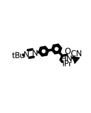 CC(C)CC(C(=O)NC1(C#N)CC1)c1cccc(-c2ccc(N3CCN(C(C)(C)C)CC3)cc2)c1